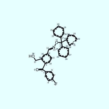 O=C(c1ccc(F)cc1)c1ccc(C=NOC(c2ccccc2)(c2ccccc2)c2ccccc2)cc1CO